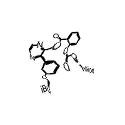 CCCCCCCCCOC(=O)Oc1ccccc1C(=O)Oc1nccnc1-c1cccc(OCC(C)CC)c1